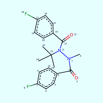 CN(C(=O)c1ccc(F)cc1)N(C(=O)c1ccc(F)cc1)C(C)(C)C